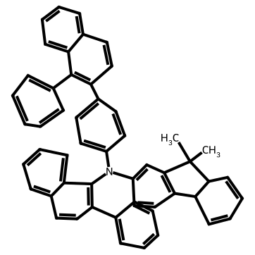 CC1(C)c2cc(N(c3ccc(-c4ccc5ccccc5c4-c4ccccc4)cc3)c3c(-c4ccccc4)ccc4ccccc34)ccc2C2C=CC=CC21